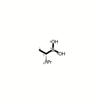 CCC[C@H](C)B(O)O